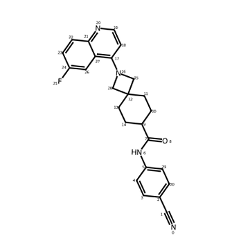 N#Cc1ccc(NC(=O)C2CCC3(CC2)CN(c2ccnc4ccc(F)cc24)C3)cc1